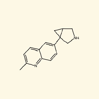 Cc1ccc2cc(C34CNCC3C4)ccc2n1